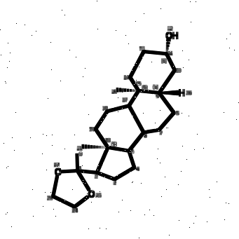 CC1(C2CCC3C4CC[C@H]5C[C@@H](O)CC[C@]5(C)C4CC[C@@]32C)OCCO1